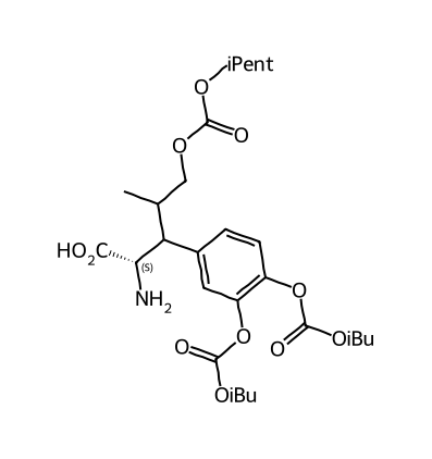 CCCC(C)OC(=O)OCC(C)C(c1ccc(OC(=O)OCC(C)C)c(OC(=O)OCC(C)C)c1)[C@H](N)C(=O)O